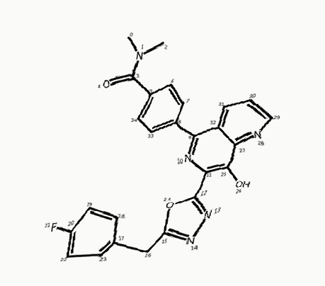 CN(C)C(=O)c1ccc(-c2nc(-c3nnc(Cc4ccc(F)cc4)o3)c(O)c3ncccc23)cc1